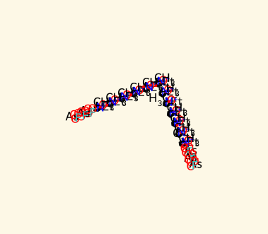 CCO[n+]1ccccc1C.CCO[n+]1ccccc1C.CCO[n+]1ccccc1C.CCO[n+]1ccccc1C.CCO[n+]1ccccc1C.CCO[n+]1ccccc1C.CCO[n+]1ccccc1C.CCO[n+]1ccccc1C.CCO[n+]1ccccc1C.CCO[n+]1ccccc1C.CCO[n+]1ccccc1C.CCO[n+]1ccccc1C.O=[As]([O-])([O-])F.O=[As]([O-])([O-])F.O=[As]([O-])([O-])F.O=[As]([O-])([O-])F.O=[As]([O-])([O-])F.O=[As]([O-])([O-])F